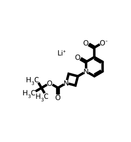 CC(C)(C)OC(=O)N1CC(n2cccc(C(=O)[O-])c2=O)C1.[Li+]